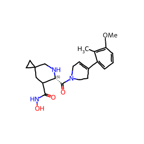 COc1cccc(C2=CCN(C(=O)[C@H]3NCC4(CC4)CC3C(=O)NO)CC2)c1C